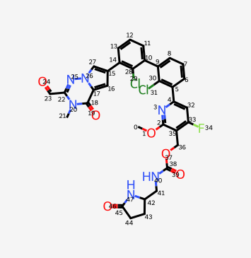 COc1nc(-c2cccc(-c3cccc(-c4cc5c(=O)n(C)c(C=O)nn5c4)c3Cl)c2Cl)cc(F)c1COC(=O)NCC1CCC(=O)N1